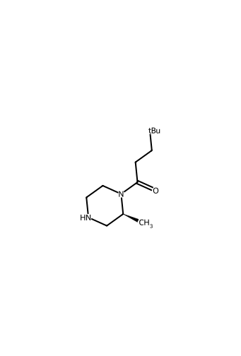 C[C@H]1CNCCN1C(=O)CCC(C)(C)C